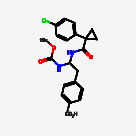 CC(C)(C)OC(=O)NC(Cc1ccc(C(=O)O)cc1)NC(=O)C1(c2ccc(Cl)cc2)CC1